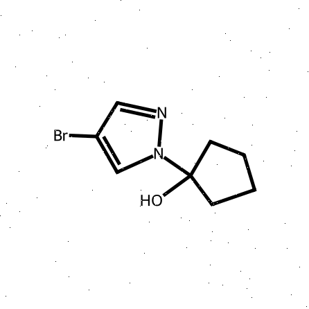 OC1(n2cc(Br)cn2)CCCC1